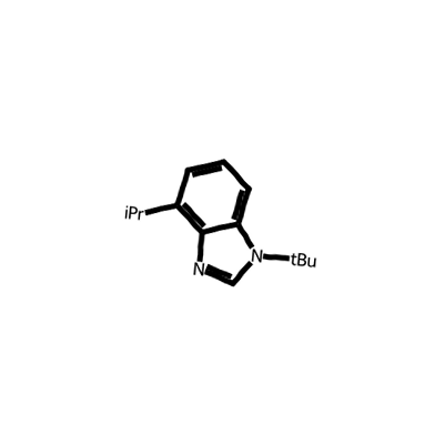 CC(C)c1cccc2c1ncn2C(C)(C)C